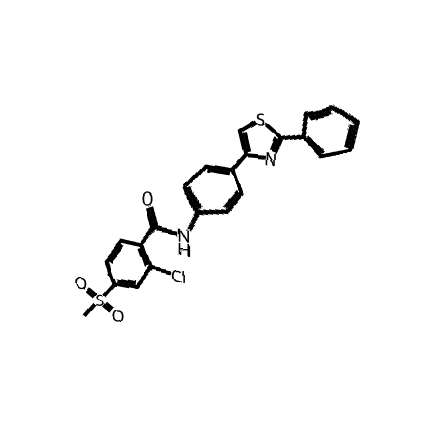 CS(=O)(=O)c1ccc(C(=O)Nc2ccc(-c3csc(-c4ccccc4)n3)cc2)c(Cl)c1